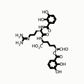 NC(N)=NCCC[C@@H](NC(=O)c1cccc(O)c1O)C(=O)N[C@H](CCCN(C=O)OC(=O)c1cccc(O)c1O)C(=O)O